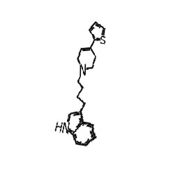 C1=C(c2cccs2)CCN(CCCCc2c[nH]c3ccccc23)C1